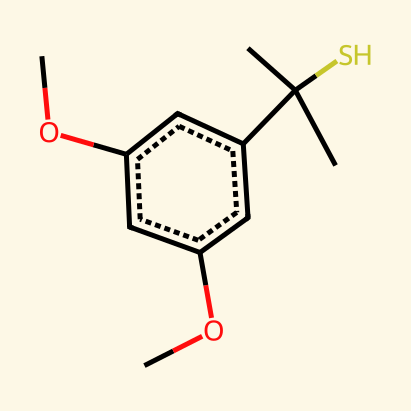 COc1cc(OC)cc(C(C)(C)S)c1